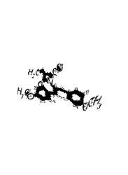 C=CC1C(=O)N(C(Cc2ccc(OC)cc2)Cc2ccc(OC)cc2)C1=C=O